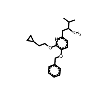 CC(C)C(N)Cc1ccc(OCc2ccccc2)c(OCCC2CC2)n1